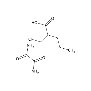 CCCC(CCl)C(=O)O.NC(=O)C(N)=O